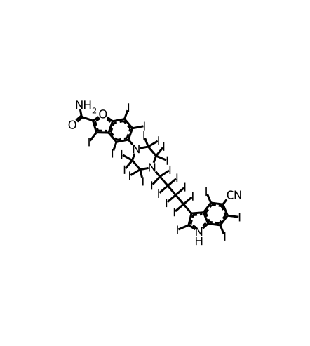 N#Cc1c(I)c(I)c2[nH]c(I)c(C(I)(I)C(I)(I)C(I)(I)C(I)(I)N3C(I)(I)C(I)(I)N(c4c(I)c(I)c5oc(C(N)=O)c(I)c5c4I)C(I)(I)C3(I)I)c2c1I